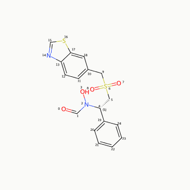 O=CN(O)[C@H](CS(=O)(=O)Cc1ccc2ncsc2c1)c1ccccc1